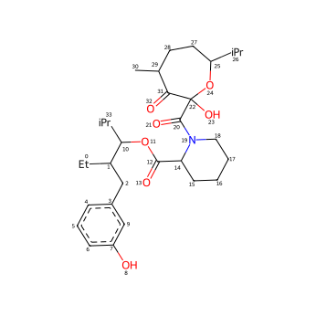 CCC(Cc1cccc(O)c1)C(OC(=O)C1CCCCN1C(=O)C1(O)OC(C(C)C)CCC(C)C1=O)C(C)C